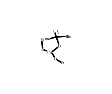 CCO[SiH](OCC)OC(C)(C(C)(C)C)C(C)(C)C